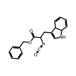 O=C=NC(CC1=CNC2C=CC=CC12)C(=O)OCc1ccccc1